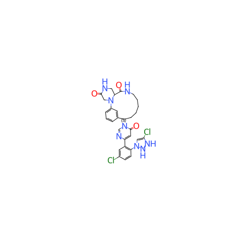 O=C1CN2c3cccc(c3)[C@@H](n3cnc(-c4cc(Cl)ccc4N4C=C(Cl)NN4)cc3=O)CCCCCNC(=O)C2CN1